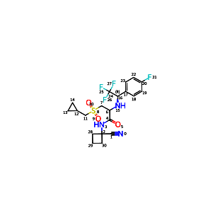 N#CC1(NC(=O)C(CS(=O)(=O)CC2CC2)N[C@H](c2ccc(F)cc2)C(F)(F)F)CCC1